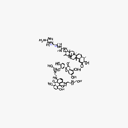 CC(/C=N/NC(=N)N)=N\NC(=N)N.CC1=C(O)C(=O)C=C2C1=CC=C1[C@@]2(C)CC[C@]2(C)[C@@H]3C[C@@H](C)C(=O)C[C@]3(C)CC[C@@]12C.CO[C@H]1Cc2c(O)cc(O)cc2O[C@@H]1c1ccc(O)c(O)c1.O=C1c2c(O)ccc(O)c2C(=O)c2c(NCCNCCO)ccc(NCCNCCO)c21